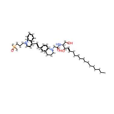 CCCCCCCCCCCCC/C=C/C(O)C(CO)NC(=O)CN1CCCc2cc(C=Cc3cc[n+](CCCP(C)(C)=O)c4ccccc34)ccc21